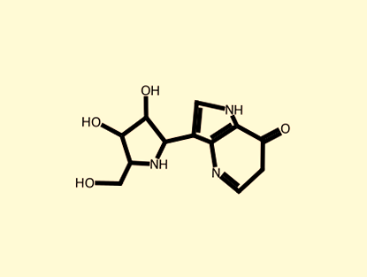 O=C1CC=Nc2c(C3NC(CO)C(O)C3O)c[nH]c21